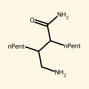 CCCCCC(CN)C(CCCCC)C(N)=O